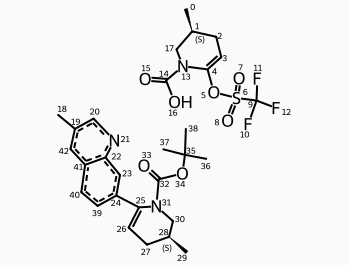 C[C@H]1CC=C(OS(=O)(=O)C(F)(F)F)N(C(=O)O)C1.Cc1cnc2cc(C3=CC[C@H](C)CN3C(=O)OC(C)(C)C)ccc2c1